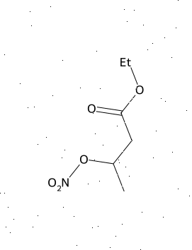 CCOC(=O)CC(C)O[N+](=O)[O-]